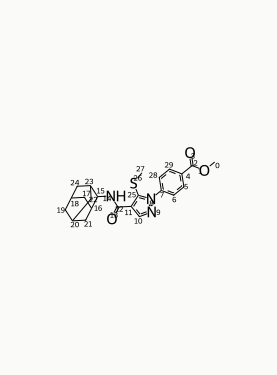 COC(=O)c1ccc(-n2ncc(C(=O)NC3C4CC5CC(C4)CC3C5)c2SC)cc1